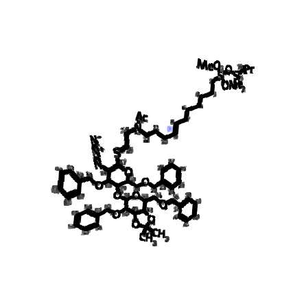 CO[Si](CCCCCC/C=C/CCCN(CCSC1OC(COCc2ccccc2)C(OC2OC(COCc3ccccc3)C3OC(C)(C)OC3C2OCc2ccccc2)C(OCc2ccccc2)C1N=[N+]=[N-])C(C)=O)(OC)O[SiH2]C(C)C